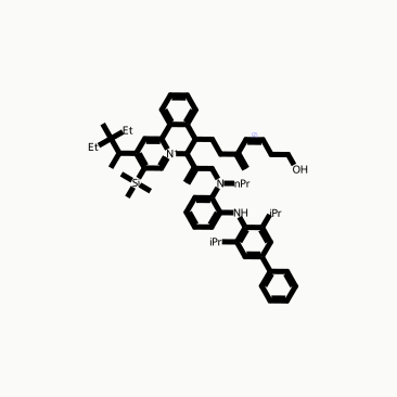 C=C(/C=C\CCO)CCC1c2ccccc2-c2cc(C(C)C(C)(CC)CC)c([Si](C)(C)C)c[n+]2C1C(=C)CN(CCC)c1ccccc1Nc1c(C(C)C)cc(-c2ccccc2)cc1C(C)C